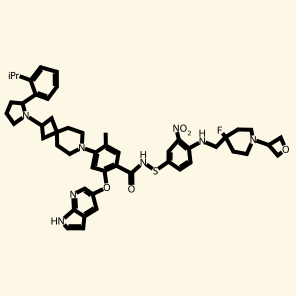 Cc1cc(C(=O)NSc2ccc(NCC3(F)CCN(C4COC4)CC3)c([N+](=O)[O-])c2)c(Oc2cnc3[nH]ccc3c2)cc1N1CCC2(CC1)CC(N1CCCC1c1ccccc1C(C)C)C2